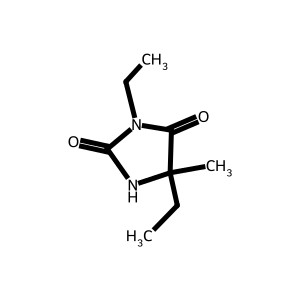 CCN1C(=O)NC(C)(CC)C1=O